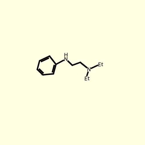 CCN(CC)CCNc1c[c]ccc1